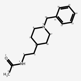 CC(=O)NCCC1CCN(Cc2ccccc2)CC1